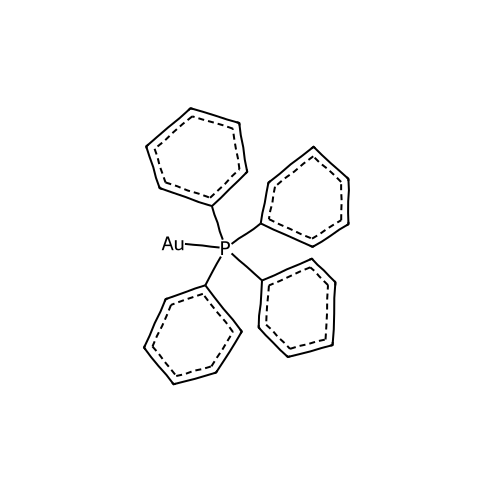 [Au][P](c1ccccc1)(c1ccccc1)(c1ccccc1)c1ccccc1